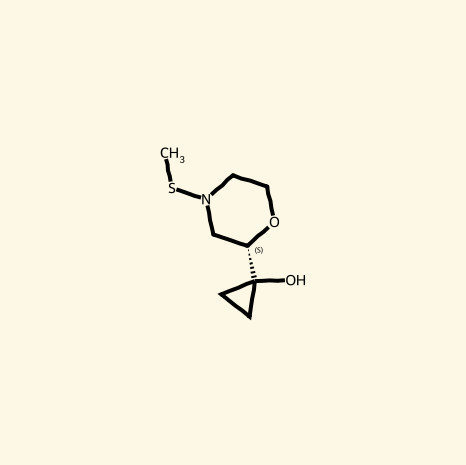 CSN1CCO[C@H](C2(O)CC2)C1